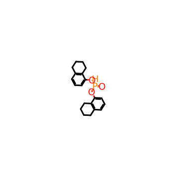 O=[PH](Oc1cccc2c1CCCC2)Oc1cccc2c1CCCC2